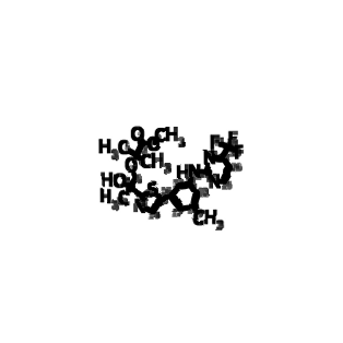 COC(=O)C(C)(C)OCC(C)(O)c1ncc(-c2cc(C)cc(Nc3nccc(C(F)(F)F)n3)c2)s1